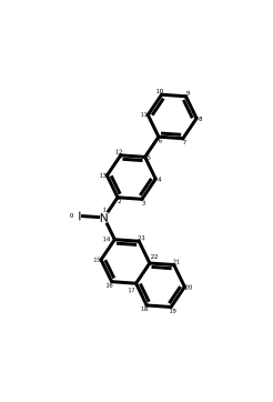 IN(c1ccc(-c2ccccc2)cc1)c1ccc2ccccc2c1